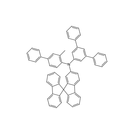 Cc1cc(-c2ccccc2)ccc1N(c1cc(-c2ccccc2)cc(-c2ccccc2)c1)c1ccc2c(c1)C1(c3ccccc3-c3ccccc31)c1ccccc1-2